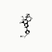 CC1(O)COCc2c1[nH]c(=O)c1sc(-c3cnn(C(=O)O)c3)cc21